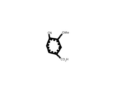 COc1cc(C(=O)O)ccc1C#N